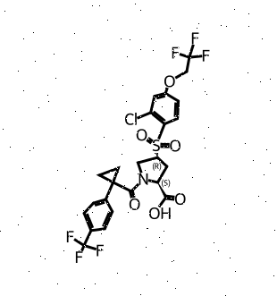 O=C(O)[C@@H]1C[C@@H](S(=O)(=O)c2ccc(OCC(F)(F)F)cc2Cl)CN1C(=O)C1(c2ccc(C(F)(F)F)cc2)CC1